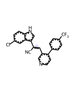 N#C/C(=C\c1cnccc1-c1ccc(C(F)(F)F)cc1)c1c[nH]c2ccc(Cl)cc12